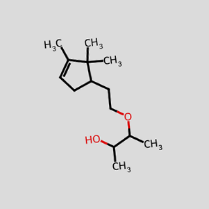 CC1=CCC(CCOC(C)C(C)O)C1(C)C